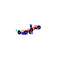 N#Cc1cc2c(Oc3ccc(NC(=O)Nc4ccc(F)cc4)cc3)ccnc2cc1OC[C@@H](O)CN1CCCCC1